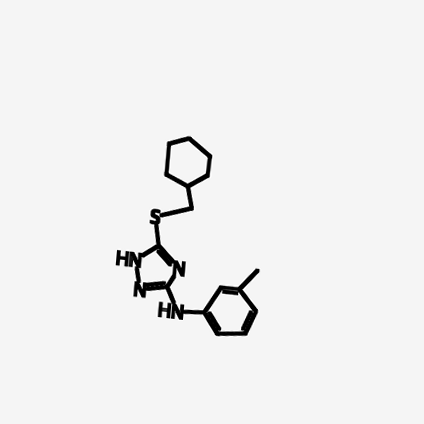 Cc1cccc(Nc2n[nH]c(SCC3CCCCC3)n2)c1